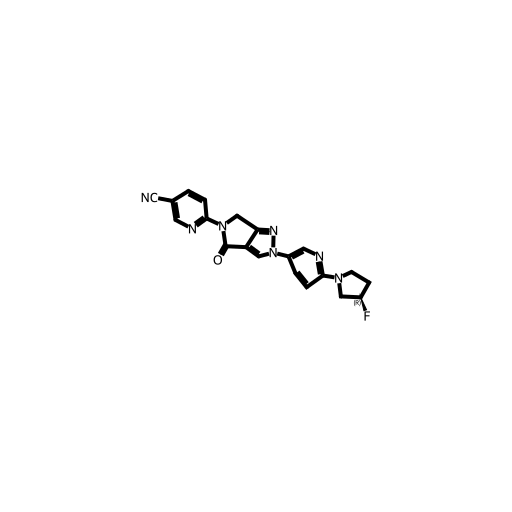 N#Cc1ccc(N2Cc3nn(-c4ccc(N5CC[C@@H](F)C5)nc4)cc3C2=O)nc1